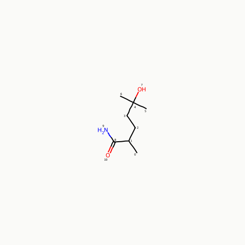 CC(CCC(C)(C)O)C(N)=O